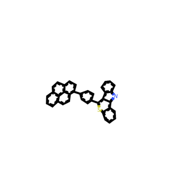 c1cc2ccc3ccc(-c4ccc(-c5sc6ccccc6c6nc7ccccc7c5-6)cc4)c4ccc(c1)c2c34